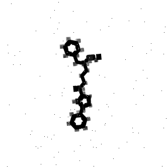 O=C(O)N(CCCNc1ccn(-c2ccccc2)n1)Cc1ccccc1